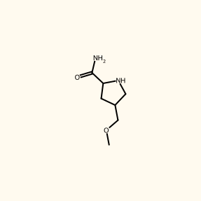 COCC1CNC(C(N)=O)C1